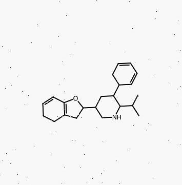 CC(C)C1NCC(C2CC3=C(C=CCC3)O2)CC1C1C=CC=CC1